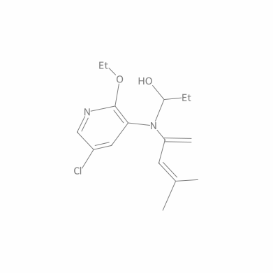 C=C(C=C(C)C)N(c1cc(Cl)cnc1OCC)C(O)CC